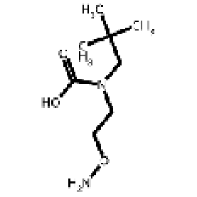 CC(C)(C)CN(CCON)C(=O)O